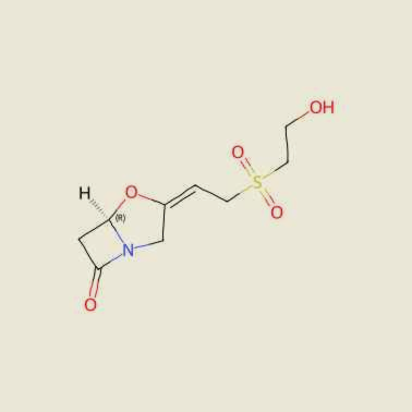 O=C1C[C@H]2OC(=CCS(=O)(=O)CCO)CN12